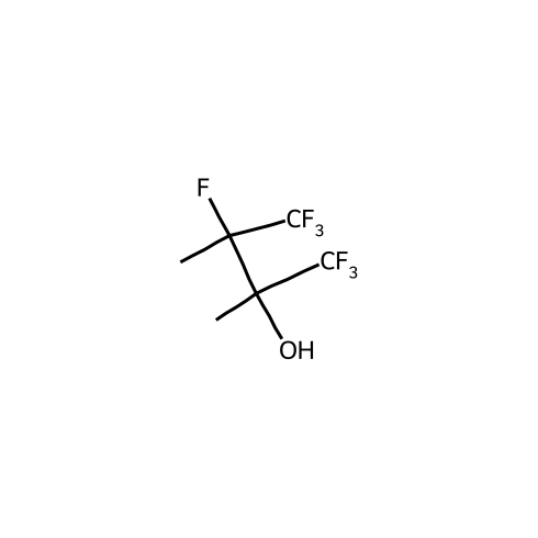 CC(O)(C(F)(F)F)C(C)(F)C(F)(F)F